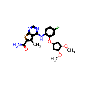 CO[C@H]1C[C@@H](Oc2cc(F)ccc2Nc2ncnc3sc(C(N)=O)c(C)c23)C[C@H]1OC